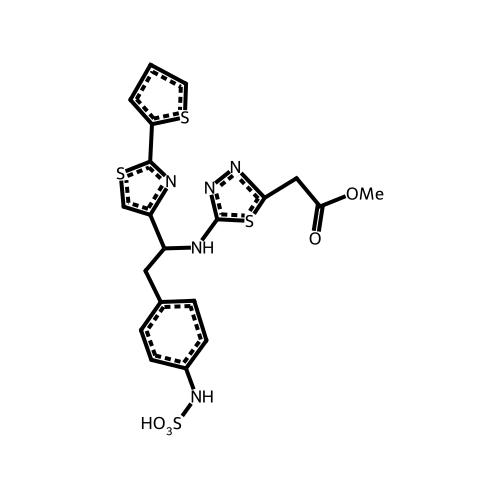 COC(=O)Cc1nnc(NC(Cc2ccc(NS(=O)(=O)O)cc2)c2csc(-c3cccs3)n2)s1